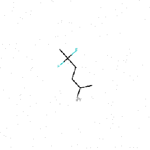 CC(C)C(C)CCC(C)(F)F